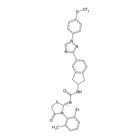 CCc1cccc(C)c1N1C(=O)CS/C1=N\C(=O)NC1Cc2ccc(-c3ncn(-c4ccc(OC(F)(F)F)cc4)n3)cc2C1